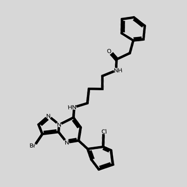 O=C(Cc1ccccc1)NCCCCNc1cc(-c2ccccc2Cl)nc2c(Br)cnn12